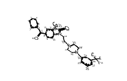 O=C(c1ccccc1)c1ccc2c(c1)[se]c(=O)n2CCN1CCN(c2cccc(C(F)(F)F)c2)CC1